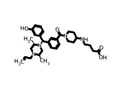 C=CCN1C[C@H](C)N([C@@H](c2cccc(O)c2)c2cccc(C(=O)N3CCC(NCCCC(=O)O)CC3)c2)C[C@H]1C